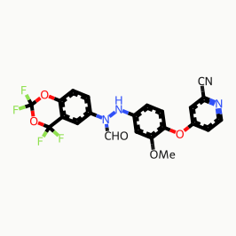 COc1cc(NN(C=O)c2ccc3c(c2)C(F)(F)OC(F)(F)O3)ccc1Oc1ccnc(C#N)c1